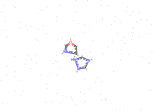 c1cocn1.c1nc[nH]n1